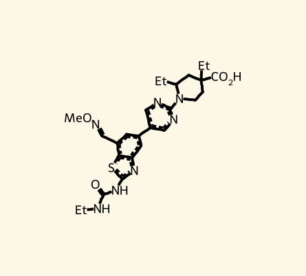 CCNC(=O)Nc1nc2cc(-c3cnc(N4CCC(CC)(C(=O)O)CC4CC)nc3)cc(C=NOC)c2s1